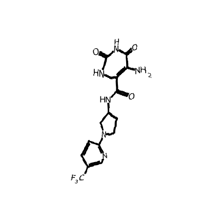 Nc1c(C(=O)NC2CCN(c3ccc(C(F)(F)F)cn3)C2)[nH]c(=O)[nH]c1=O